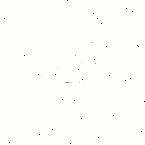 CSc1cc(SC)c(CS)c(SC)c1